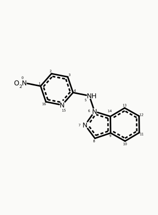 O=[N+]([O-])c1ccc(Nn2ncc3ccccc32)nc1